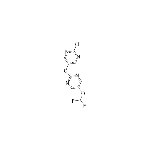 FC(F)Oc1cnc(Oc2cnc(Cl)nc2)nc1